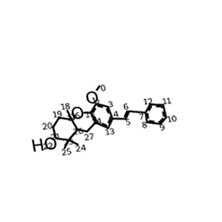 COc1cc(/C=C/c2ccccc2)cc2c1OC1(C)CCC(O)C(C)(C)C1C2